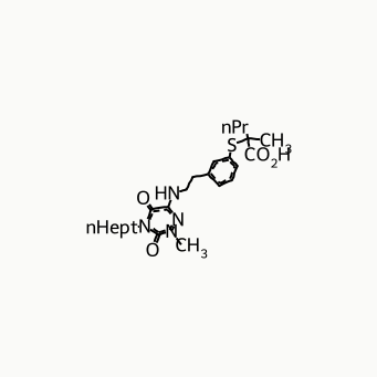 CCCCCCCn1c(=O)c(NCCc2cccc(SC(C)(CCC)C(=O)O)c2)nn(C)c1=O